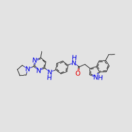 CCc1ccc2[nH]cc(CC(=O)Nc3ccc(Nc4cc(C)nc(N5CCCC5)n4)cc3)c2c1